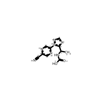 CC(NC(=O)O)c1ncnn1-c1cnc(C#N)cn1